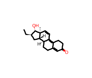 CC[C@@H]1C[C@H]2[C@@H]3CCC4=CC(=O)CCC4=C3C=C[C@]2(C)[C@H]1O